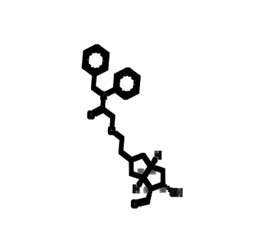 O=C[C@H]1[C@@H]2CC(CCOCC(=O)N(Cc3ccccc3)c3ccccc3)C[C@@H]2C[C@@H]1O